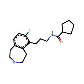 O=C(NCCCc1c(Cl)ccc2c1CCNCC2)C1CCCC1